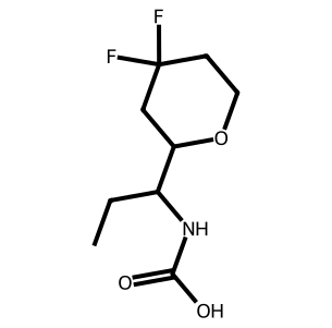 CCC(NC(=O)O)C1CC(F)(F)CCO1